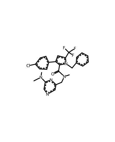 CN(Cc1cncc(N(C)C)n1)C(=O)c1c(-c2ccc(Cl)cc2)cc(C(F)(F)F)n1Cc1ccccc1